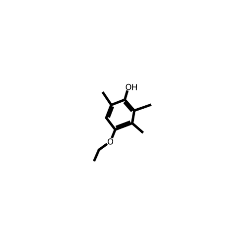 CCOc1cc(C)c(O)c(C)c1C